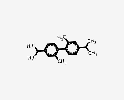 Cc1cc(C(C)C)ccc1-c1ccc(C(C)C)cc1C